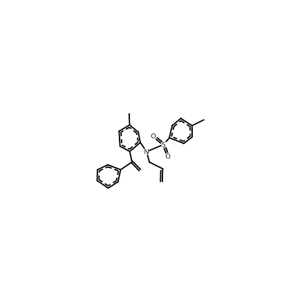 C=CCN(c1cc(C)ccc1C(=C)c1ccccc1)S(=O)(=O)c1ccc(C)cc1